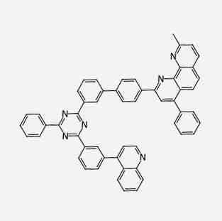 Cc1ccc2ccc3c(-c4ccccc4)cc(-c4ccc(-c5cccc(-c6nc(-c7ccccc7)nc(-c7cccc(-c8ccnc9ccccc89)c7)n6)c5)cc4)nc3c2n1